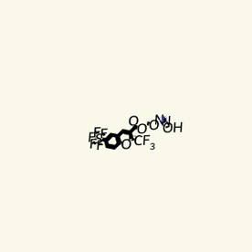 O=C(OCO/N=N\O)C1=Cc2cc(S(F)(F)(F)(F)F)ccc2O[C@@H]1C(F)(F)F